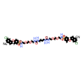 Cc1cc(S(=O)(=O)NCCOCCOCCNC(=O)NCCCCNC(=O)NCCOCCOCCNS(=O)(=O)c2ccc(O[C@@H]3CCc4c(C#N)cc(Cl)cc43)c(C)c2)ccc1O[C@@H]1CCc2c(C#N)cc(Cl)cc21